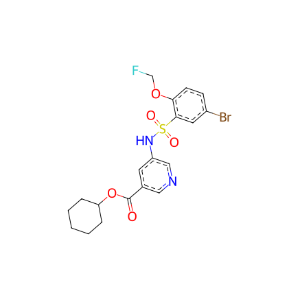 O=C(OC1CCCCC1)c1cncc(NS(=O)(=O)c2cc(Br)ccc2OCF)c1